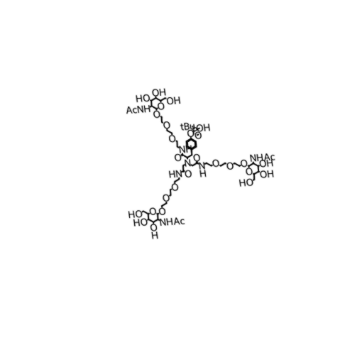 CC(=O)NC1C(OCCOCCOCCNC(=O)CN(CC(=O)NCCOCCOCCOC2OC(CO)C(O)C(O)C2NC(C)=O)C(Cc2ccc(OP(=O)(O)C(C)(C)C)cc2)C(=O)NCCOCCOCCOC2OC(CO)C(O)C(O)C2NC(C)=O)OC(CO)C(O)C1O